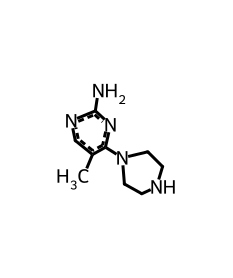 Cc1cnc(N)nc1N1CCNCC1